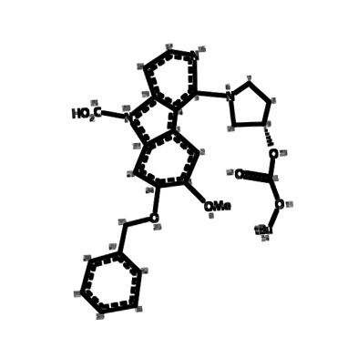 COc1cc2c3c(N4CC[C@H](OC(=O)OC(C)(C)C)C4)nccc3n(C(=O)O)c2cc1OCc1ccccc1